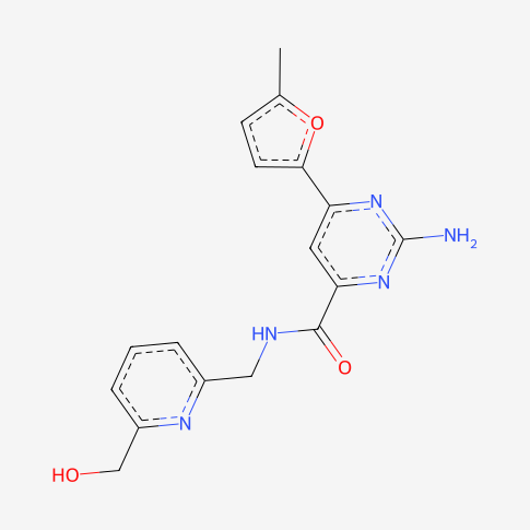 Cc1ccc(-c2cc(C(=O)NCc3cccc(CO)n3)nc(N)n2)o1